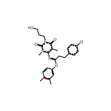 C=C(C)/C=C\C(=C/C(=C)C)O/C(CCc1ccc(Cl)cc1)=N/c1c(C)c(=O)n(CCCO)c(=O)n1C